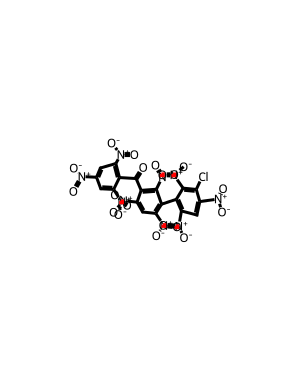 O=C(c1c([N+](=O)[O-])cc([N+](=O)[O-])cc1[N+](=O)[O-])c1c([N+](=O)[O-])cc([N+](=O)[O-])c(-c2c([N+](=O)[O-])cc([N+](=O)[O-])c(Cl)c2[N+](=O)[O-])c1[N+](=O)[O-]